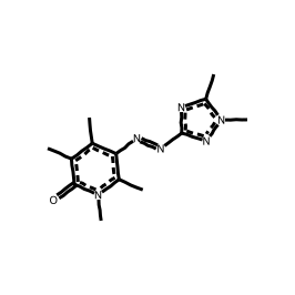 Cc1c(N=Nc2nc(C)n(C)n2)c(C)n(C)c(=O)c1C